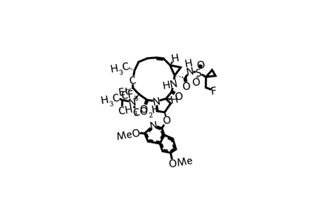 CC[C@@H]1C[C@H](C)CCC=C[C@@H]2C[C@@]2(C(=O)NS(=O)(=O)C2(CF)CC2)NC(=O)[C@@H]2C[C@@H](Oc3nc(OC)cc4cc(OC)ccc34)CN2C(=O)[C@H]1N(C(=O)O)C(C)(C)C(F)(F)F